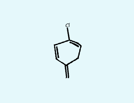 C=C1C=CC(Cl)=CC1